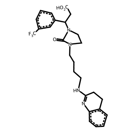 O=C(O)CC(c1cccc(C(F)(F)F)c1)N1CCN(CCCCNC2=Nc3ccccc3CC2)C1=O